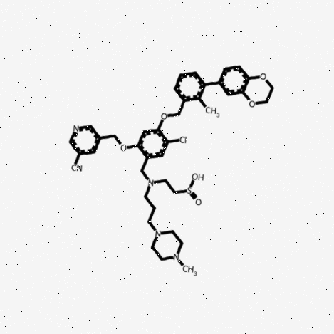 Cc1c(COc2cc(OCc3cncc(C#N)c3)c(CN(CCCN3CCN(C)CC3)CCS(=O)O)cc2Cl)cccc1-c1ccc2c(c1)OCCO2